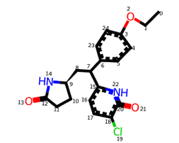 CCOc1ccc(C(C[C@H]2CCC(=O)N2)c2ccc(Cl)c(=O)[nH]2)cc1